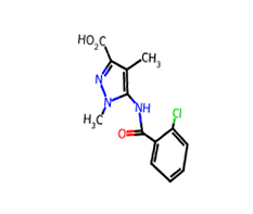 Cc1c(C(=O)O)nn(C)c1NC(=O)c1ccccc1Cl